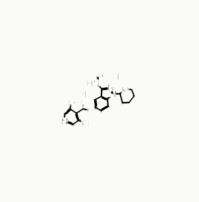 C[C@@H](Oc1ccc2c(c1)c(NC(=O)O)nn2C1CCCCO1)c1c(Cl)cncc1Cl